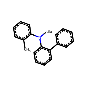 Cc1ccccc1N(c1ccccc1-c1ccccc1)C(C)(C)C